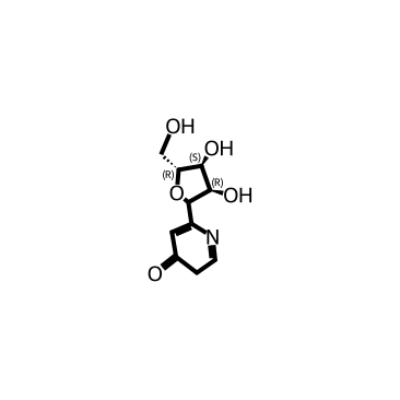 O=C1C=C(C2O[C@H](CO)[C@@H](O)[C@H]2O)N=CC1